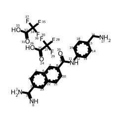 N=C(N)c1ccc2cc(C(=O)Nc3ccc(CN)cc3)ccc2c1.O=C(O)C(F)(F)F.O=C(O)C(F)(F)F